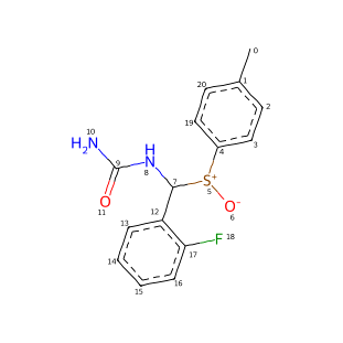 Cc1ccc([S+]([O-])C(NC(N)=O)c2ccccc2F)cc1